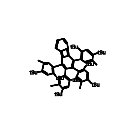 Cc1cc(-c2c(-c3cc(C)c(C(C)(C)C)cc3C(C)(C)C)c(-c3cc(C)c(C(C)(C)C)cc3C(C)(C)C)c3c(c2-c2cc(C)c(C(C)(C)C)cc2C(C)(C)C)=c2ccccc2=3)c(C(C)(C)C)cc1C(C)(C)C